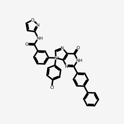 O=C(Nc1ccon1)c1cccc([N+]2(c3ccc(Cl)cc3)C=Nc3c2nc(-c2ccc(-c4ccccc4)cc2)[nH]c3=O)c1